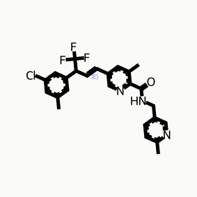 Cc1cc(Cl)cc(C(/C=C/c2cnc(C(=O)NCc3ccc(C)nc3)c(C)c2)C(F)(F)F)c1